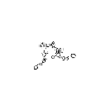 NC(CO)(CCc1ccc([SH]2C=CC(OCc3ccccc3)=C2)cc1Cl)CO[PH](=O)OCC(N)(CO)CCc1ccc([SH]2C=CC(OCc3ccccc3)=C2)cc1Cl